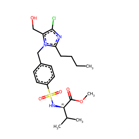 CCCCc1nc(Cl)c(CO)n1Cc1ccc(S(=O)(=O)N[C@@H](C(=O)OC)C(C)C)cc1